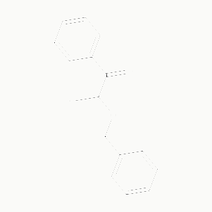 O=C(c1ccccc1)C(Cl)OCc1ccccc1